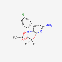 CCC1(CC)Oc2nc(N)ccc2[N+](OC(=O)C(F)(F)F)(c2ccc(Cl)cc2)C1=O